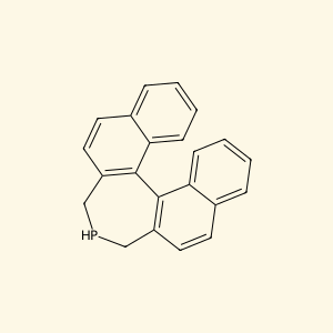 c1ccc2c3c(ccc2c1)CPCc1ccc2ccccc2c1-3